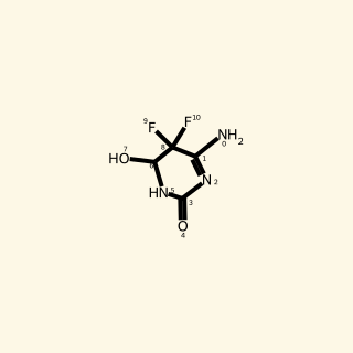 NC1=NC(=O)NC(O)C1(F)F